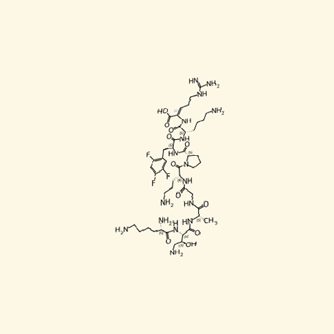 C[C@H](NC(=O)[C@@H](NC(=O)[C@@H](N)CCCCN)[C@@H](O)CN)C(=O)NCC(=O)N[C@H](CCCN)C(=O)N1CCC[C@H]1C(=O)N[C@@H](Cc1cc(F)c(F)cc1F)C(=O)N[C@@H](CCCCN)C(=O)N/C(=C\CCNC(=N)N)C(=O)O